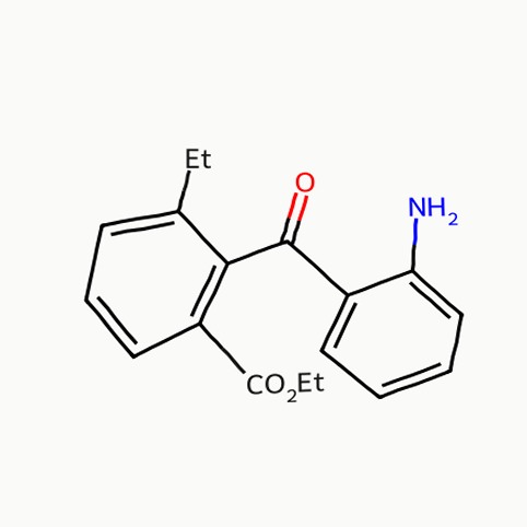 CCOC(=O)c1cccc(CC)c1C(=O)c1ccccc1N